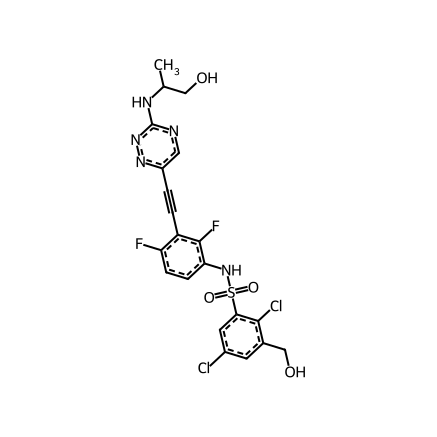 CC(CO)Nc1ncc(C#Cc2c(F)ccc(NS(=O)(=O)c3cc(Cl)cc(CO)c3Cl)c2F)nn1